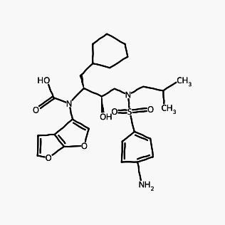 CC(C)CN(C[C@@H](O)[C@H](CC1CCCCC1)N(C(=O)O)c1coc2occc12)S(=O)(=O)c1ccc(N)cc1